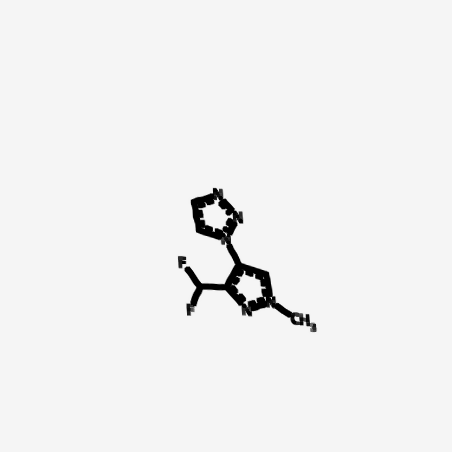 Cn1cc(-n2ccnn2)c(C(F)F)n1